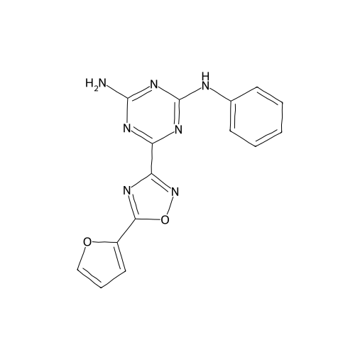 Nc1nc(Nc2ccccc2)nc(-c2noc(-c3ccco3)n2)n1